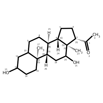 CC(=O)[C@H]1CC[C@H]2[C@@H]3CCC4CC(O)CC[C@]4(C)[C@H]3CC(O)[C@]12C